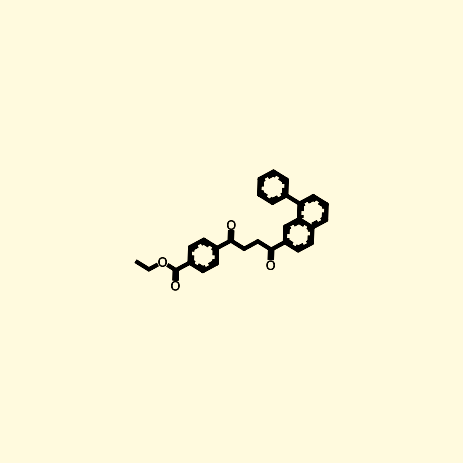 CCOC(=O)c1ccc(C(=O)CCC(=O)c2ccc3cccc(-c4ccccc4)c3c2)cc1